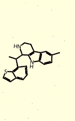 Cc1ccc2[nH]c3c(c2c1)CCNC3C(C)c1cccc2ccsc12